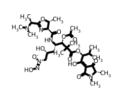 CC(=O)O[C@@H]([C@H](C[C@@H](O)C[N+]([O-])=NO)NC(=O)[C@H]1N=C([C@H](C)N(C)C)O[C@@H]1C)C(C)(C)C(=O)O[C@H](C(O)=C1C(=O)[C@H](C)N(C)C1=O)C(C)C